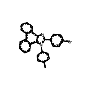 Cc1ccc(-n2c(-c3ccc(Br)cc3)nc3c4ccccc4c4ccccc4c32)cc1